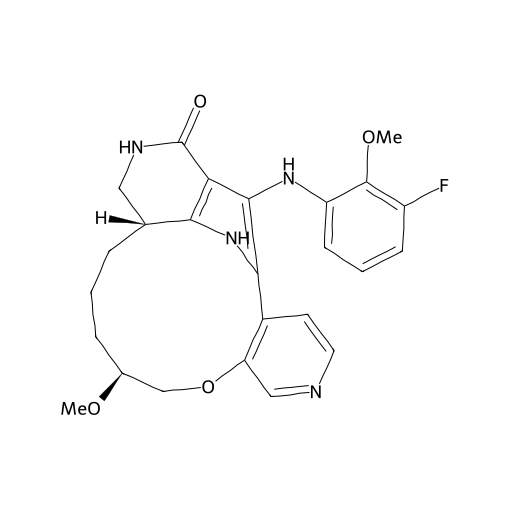 COc1c(F)cccc1Nc1c2[nH]c3c1C(=O)NC[C@H]3CCC[C@H](OC)COc1cnccc1-2